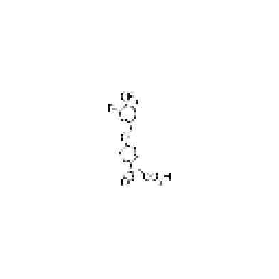 O=C(O)CC1(c2ccc(OCc3ccc(C(F)(F)F)c(F)c3)cc2)COC1